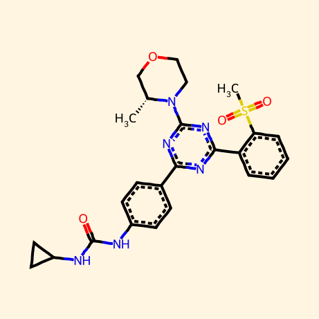 C[C@@H]1COCCN1c1nc(-c2ccc(NC(=O)NC3CC3)cc2)nc(-c2ccccc2S(C)(=O)=O)n1